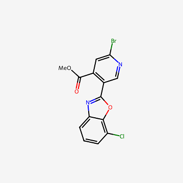 COC(=O)c1cc(Br)ncc1-c1nc2cccc(Cl)c2o1